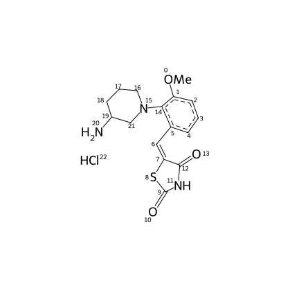 COc1cccc(C=C2SC(=O)NC2=O)c1N1CCCC(N)C1.Cl